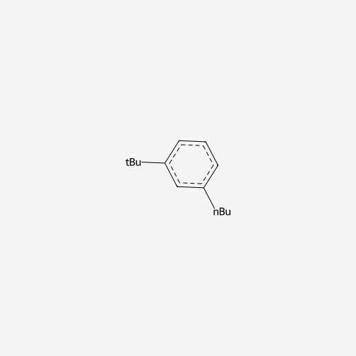 [CH2]C(C)(C)c1cccc(CCCC)c1